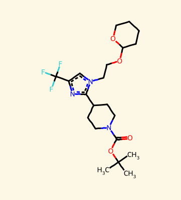 CC(C)(C)OC(=O)N1CCC(c2nc(C(F)(F)F)cn2CCOC2CCCCO2)CC1